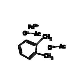 CC(=O)[O-].CC(=O)[O-].Cc1ccccc1C.[Pd+2]